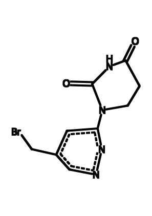 O=C1CCN(c2cc(CBr)cnn2)C(=O)N1